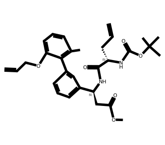 C=CCOc1cccc(C)c1-c1cccc([C@H](CC(=O)OC)NC(=O)[C@H](CC=C)NC(=O)OC(C)(C)C)c1